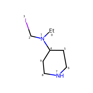 CCN(CI)C1CCNCC1